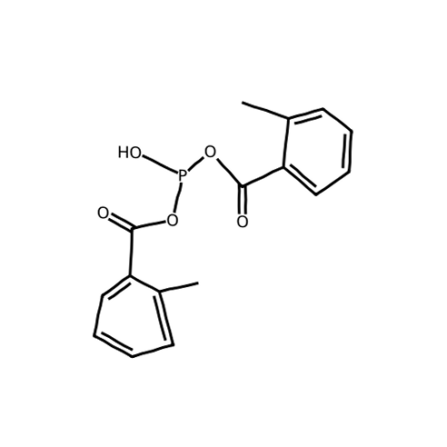 Cc1ccccc1C(=O)OP(O)OC(=O)c1ccccc1C